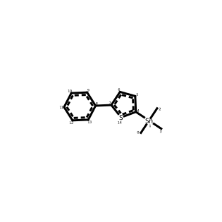 [CH3][Sn]([CH3])([CH3])[c]1ccc(-c2ccccc2)s1